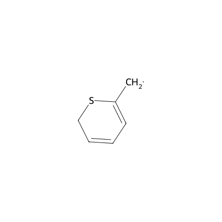 [CH2]C1=CC=CCS1